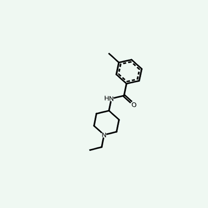 CCN1CCC(NC(=O)c2cccc(C)c2)CC1